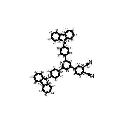 N#Cc1ccc(-c2cc(-c3ccc(-n4c5ccccc5c5ccccc54)cc3)nc(-c3ccc(-n4c5ccccc5c5ccccc54)cc3)c2)cc1C#N